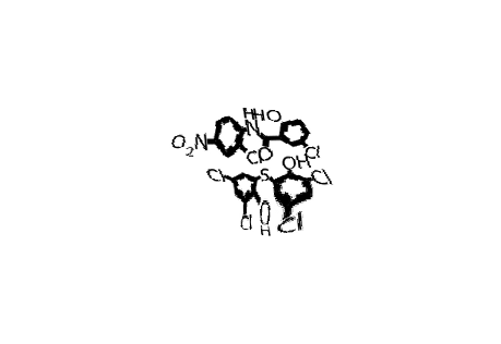 O=C(Nc1ccc([N+](=O)[O-])cc1Cl)c1cc(Cl)ccc1O.Oc1c(Cl)cc(Cl)cc1Sc1cc(Cl)cc(Cl)c1O